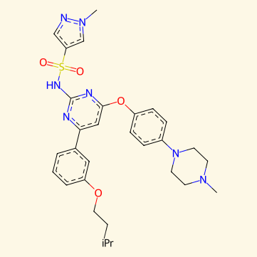 CC(C)CCOc1cccc(-c2cc(Oc3ccc(N4CCN(C)CC4)cc3)nc(NS(=O)(=O)c3cnn(C)c3)n2)c1